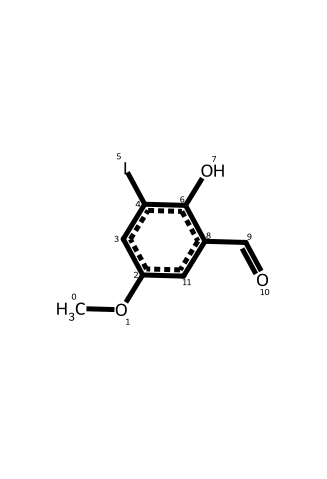 COc1cc(I)c(O)c(C=O)c1